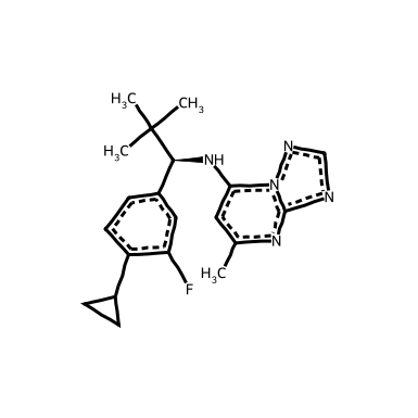 Cc1cc(N[C@@H](c2ccc(C3CC3)c(F)c2)C(C)(C)C)n2ncnc2n1